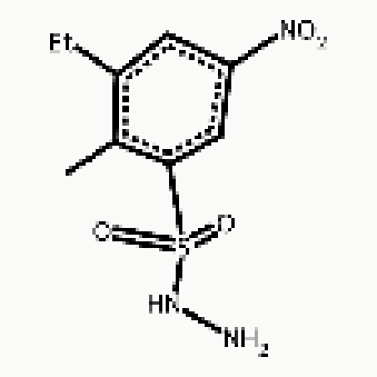 CCc1cc([N+](=O)[O-])cc(S(=O)(=O)NN)c1C